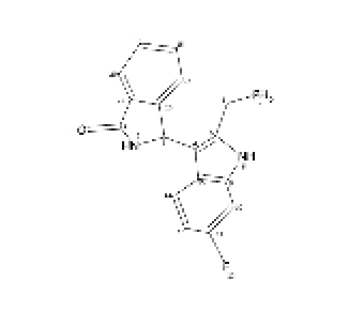 O=C1NC(c2c(CP)[nH]c3cc(F)ccc23)c2ccccc21